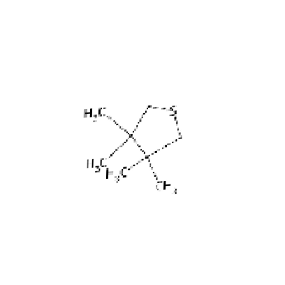 CC1(C)CSCC1(C)C